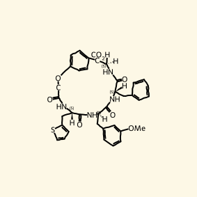 COc1cccc(C[C@H]2NC(=O)[C@H](Cc3cccs3)NC(=O)COc3ccc(cc3)C[C@@H](C(=O)O)NC(=O)[C@H](Cc3ccccc3)NC2=O)c1